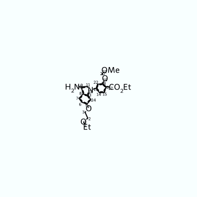 CCOCCOc1ccc2c(N)cn(-c3ccc(C(=O)OCC)c(OCOC)c3)c2c1